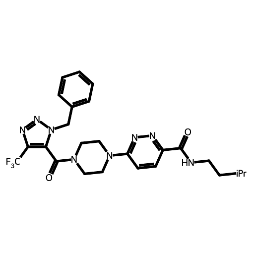 CC(C)CCNC(=O)c1ccc(N2CCN(C(=O)c3c(C(F)(F)F)nnn3Cc3ccccc3)CC2)nn1